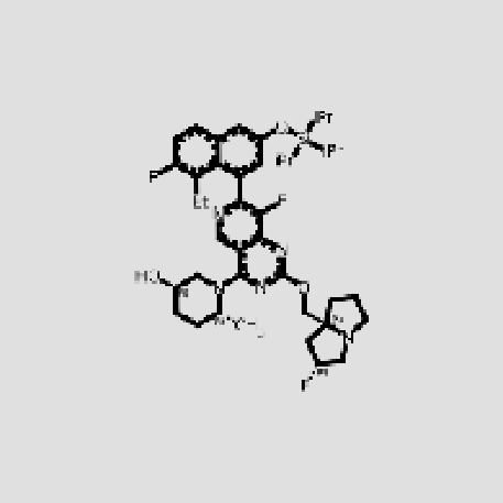 CCc1c(F)ccc2cc(O[Si](C(C)C)(C(C)C)C(C)C)cc(-c3ncc4c(N5C[C@H](O)CC[C@H]5C)nc(OC[C@@]56CCCN5C[C@H](F)C6)nc4c3F)c12